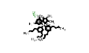 CCCCc1cc(CCCC)cc([Si](c2cc(C)cc(C)c2)(c2cc(CCCC)cc(CCCC)c2)C2(C)C(C)=C(C)C(C)=[C]2[Ti+3])c1.[Cl-].[Cl-].[Cl-]